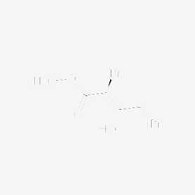 COC(=O)[C@@H](Br)[C@@H](O)CBr